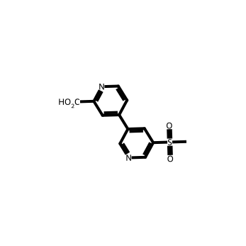 CS(=O)(=O)c1cncc(-c2ccnc(C(=O)O)c2)c1